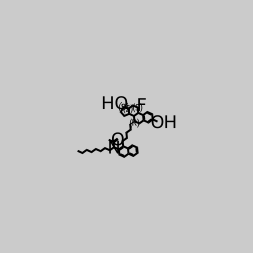 CCCCCCCCN(C(C)=O)c1ccc2ccccc2c1CCCCC[C@@H]1Cc2cc(O)ccc2C2C1C1CC[C@H](O)[C@@]1(C)C[C@@H]2F